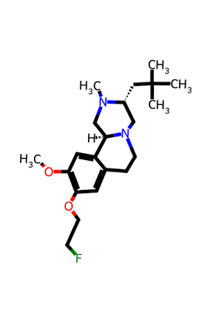 COc1cc2c(cc1OCCF)CCN1C[C@@H](CC(C)(C)C)N(C)C[C@H]21